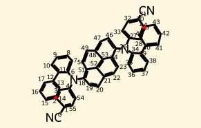 N#Cc1ccc(N(c2ccccc2-c2ccccc2)c2ccc3ccc4c(N(c5ccc(C#N)cc5)c5ccccc5-c5ccccc5)ccc5ccc2c3c54)cc1